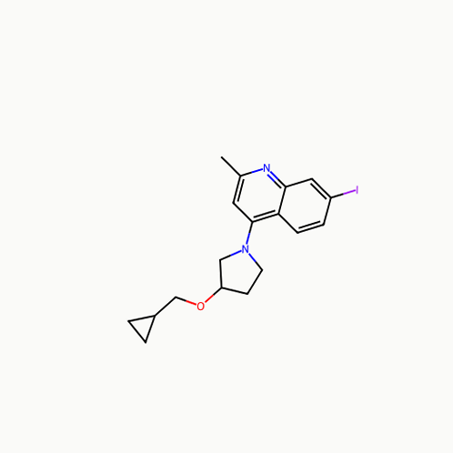 Cc1cc(N2CCC(OCC3CC3)C2)c2ccc(I)cc2n1